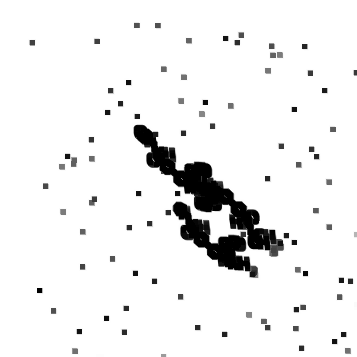 CN(C)CCNC(=O)c1ccc(-c2ccc3nc(N)nc(O[C@H]4CCOC4)c3c2)cc1.Nc1nc(O[C@@H]2CCOC2)c2cc(-c3ccc(C(=O)NCCN4CCCC4)cc3)ccc2n1.Nc1nc(O[C@@H]2CCOC2)c2cc(-c3ccc(C(=O)NCCN4CCOCC4)cc3)ccc2n1